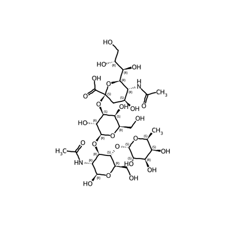 CC(=O)N[C@@H]1[C@@H](O[C@@H]2O[C@H](CO)[C@H](O)[C@H](O[C@]3(C(=O)O)C[C@H](O)[C@@H](NC(C)=O)[C@H]([C@H](O)[C@H](O)CO)O3)[C@H]2O)[C@H](O[C@@H]2O[C@@H](C)[C@@H](O)[C@@H](O)[C@@H]2O)[C@@H](CO)O[C@H]1O